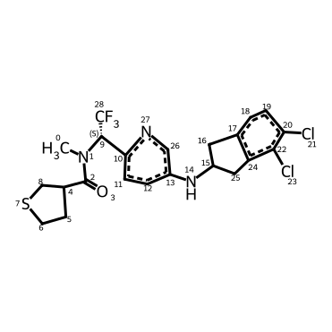 CN(C(=O)C1CCSC1)[C@@H](c1ccc(NC2Cc3ccc(Cl)c(Cl)c3C2)cn1)C(F)(F)F